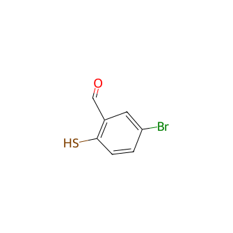 O=Cc1cc(Br)ccc1S